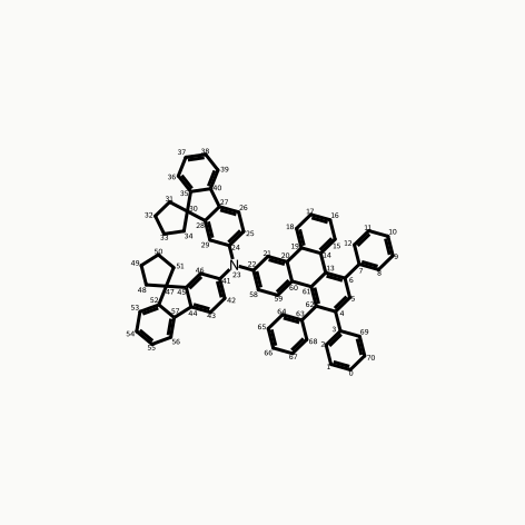 c1ccc(-c2cc(-c3ccccc3)c3c4ccccc4c4cc(N(c5ccc6c(c5)C5(CCCC5)c5ccccc5-6)c5ccc6c(c5)C5(CCCC5)c5ccccc5-6)ccc4c3c2-c2ccccc2)cc1